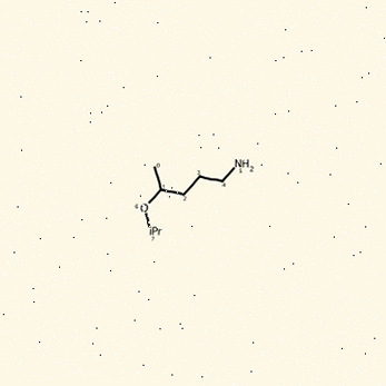 [CH2]C(CCCN)OC(C)C